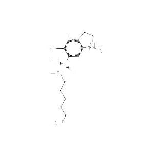 CC(=O)CCCCCNS(=O)(=O)c1cc2c(cc1Br)CCN2C(C)=O